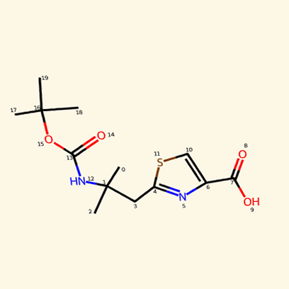 CC(C)(Cc1nc(C(=O)O)cs1)NC(=O)OC(C)(C)C